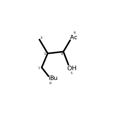 CCC(C)CC(C)C(O)C(C)=O